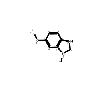 C[SiH]1CNc2ccc(OC(F)(F)F)cc21